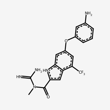 CN(C(=N)N)C(=O)c1cc2c(C(F)(F)F)cc(Oc3cccc(N)c3)cc2[nH]1